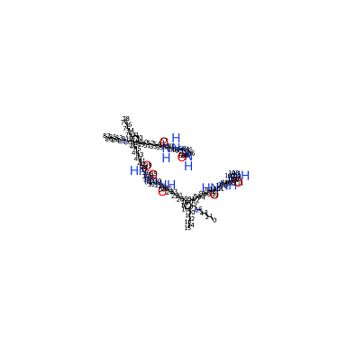 CCCCC/C=C/CC1C(CCCCCC)C=CC(CCCCCCCC(=O)NCCN2CCN(CCNC(=O)CCCCCCCC3C(CCCCCCCC(=O)NCCNCCN4CCNC4=O)C=CC(CCCCCC)C3C/C=C/CCCCC)C2=O)C1CCCCCCCC(=O)NCCNCCN1CCNC1=O